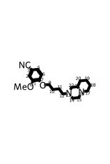 COc1cc(C#N)ccc1OCCCCN1CCN2CCCCC2C1